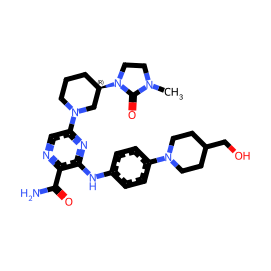 CN1CCN([C@@H]2CCCN(c3cnc(C(N)=O)c(Nc4ccc(N5CCC(CO)CC5)cc4)n3)C2)C1=O